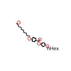 CCCCCCOc1ccc(OC(=O)c2ccc(OCCCCCCCCC3CO3)cc2)cc1